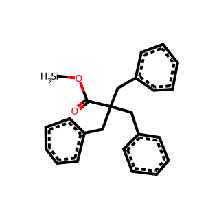 O=C(O[SiH3])C(Cc1ccccc1)(Cc1ccccc1)Cc1ccccc1